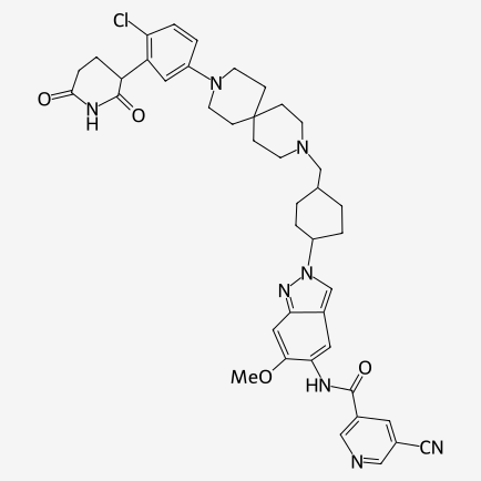 COc1cc2nn(C3CCC(CN4CCC5(CC4)CCN(c4ccc(Cl)c(C6CCC(=O)NC6=O)c4)CC5)CC3)cc2cc1NC(=O)c1cncc(C#N)c1